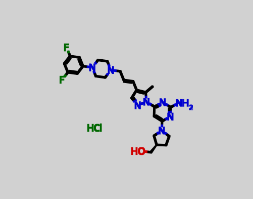 Cc1c(/C=C/CN2CCN(c3cc(F)cc(F)c3)CC2)cnn1-c1cc(N2CC[C@@H](CO)C2)nc(N)n1.Cl